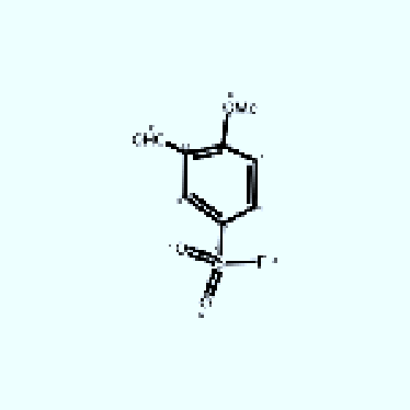 COc1ccc(S(=O)(=O)F)cc1C=O